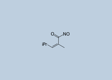 C/C(=C/C(C)C)C(=O)N=O